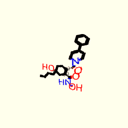 CCCC[C@]1(O)CC[C@H](C(=O)N2CC=C(c3ccccc3)CC2)[C@@H](C(=O)NO)C1